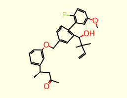 C=CC(C)(C)[C@H](O)c1cc(COc2cccc([C@H](C)CC(C)=O)c2)ccc1-c1cc(OC)ccc1F